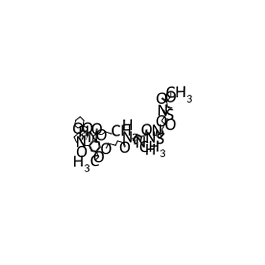 C=CCOC(=O)N1c2cc(OCCCC(=O)Nc3cc(C(=O)Nc4nc(C(=O)Oc5nc(C(=O)OC)cs5)cs4)n(C)c3)c(OC)cc2C(=O)N2CCC[C@H]2C1OC1CCCCO1